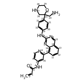 C=CC(=O)Nc1ccnc(-c2cccc3cnc(Nc4ccc(C5(CN)CNCCO5)cc4)nc23)c1